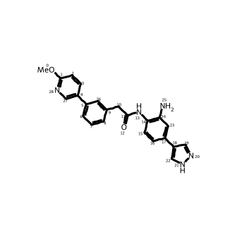 COc1ccc(-c2cccc(CC(=O)Nc3[c]cc(-c4cn[nH]c4)cc3N)c2)cn1